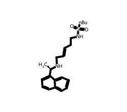 CCCCS(=O)(=O)NCC/C=C/CN[C@H](C)c1cccc2ccccc12